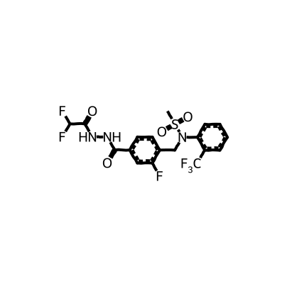 CS(=O)(=O)N(Cc1ccc(C(=O)NNC(=O)C(F)F)cc1F)c1ccccc1C(F)(F)F